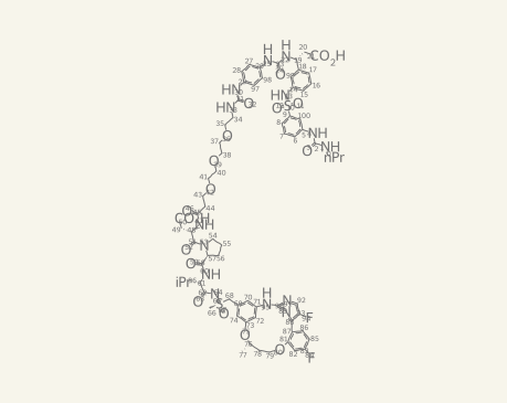 CCCNC(=O)Nc1cccc(S(=O)(=O)Nc2cccc([C@@H](CC(=O)O)NC(=O)Nc3ccc(NC(=O)NCCOCCOCCOCCC(=O)N[C@@H](CC(=O)O)C(=O)N4CCC[C@H]4C(=O)N[C@H](C(=O)N=[S@@](C)(=O)Cc4cc5cc(c4)O[C@@H](C)CCOc4cc(F)ccc4-c4nc(ncc4F)N5)C(C)C)cc3)c2)c1